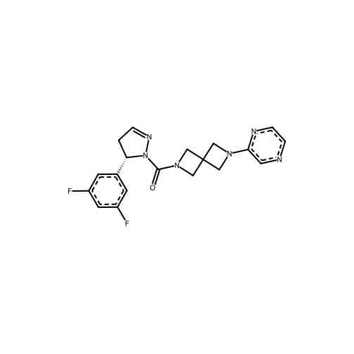 O=C(N1CC2(C1)CN(c1cnccn1)C2)N1N=CC[C@H]1c1cc(F)cc(F)c1